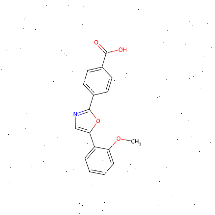 COc1ccccc1-c1cnc(-c2ccc(C(=O)O)cc2)o1